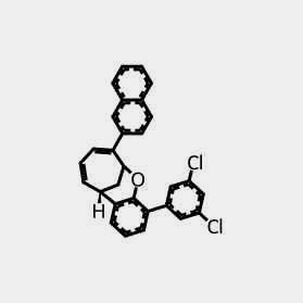 Clc1cc(Cl)cc(-c2cccc3c2OC2C[C@H]3C=CC=C2c2ccc3ccccc3c2)c1